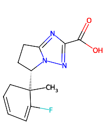 CC1([C@@H]2CCc3nc(C(=O)O)nn32)CC=CC=C1F